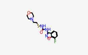 O=C(NSCCN1CCOCC1)Nc1noc2c(F)cccc12